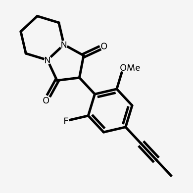 CC#Cc1cc(F)c(C2C(=O)N3CCCCN3C2=O)c(OC)c1